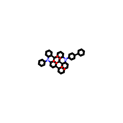 C1=C(c2ccccc2N(c2ccccc2)c2ccc(-c3ccccc3)cc2)CCC(c2ccccc2N(c2ccccc2)c2ccc(-c3ccccc3)cc2)=C1